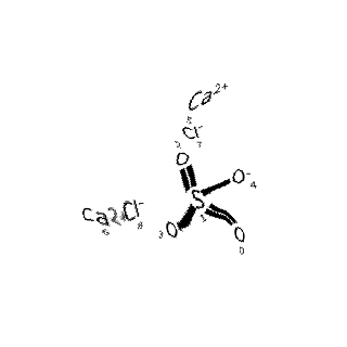 O=S(=O)([O-])[O-].[Ca+2].[Ca+2].[Cl-].[Cl-]